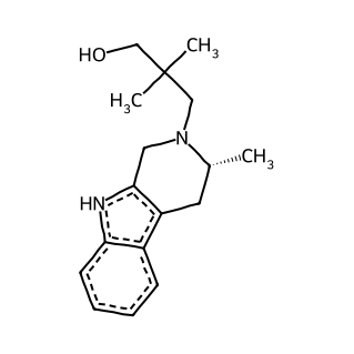 C[C@@H]1Cc2c([nH]c3ccccc23)CN1CC(C)(C)CO